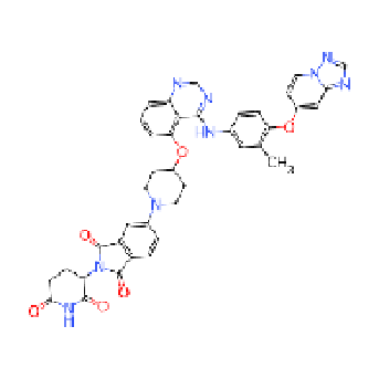 Cc1cc(Nc2ncnc3cccc(OC4CCN(c5ccc6c(c5)C(=O)N(C5CCC(=O)NC5=O)C6=O)CC4)c23)ccc1Oc1ccn2ncnc2c1